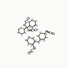 O=C=NC(N=C=O)(C1CCCCC1)C1CCCCC1.O=C=NC1CCC(CC2CCCCC2N=C=O)CC1